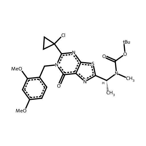 COc1ccc(Cn2c(C3(Cl)CC3)nc3sc([C@@H](C)N(C)C(=O)OC(C)(C)C)nc3c2=O)c(OC)c1